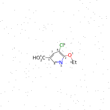 CCOc1ncc(C(=O)O)cc1Cl